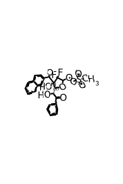 CS(=O)(=O)OOC1O[C@H](C(O)C(=O)c2ccccc2)[C@](O)(C(=O)c2ccc3ccccc3c2)C1(F)F